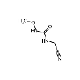 CONC(=O)NCC#N